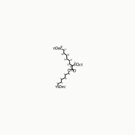 CCCCCCCCCCCCCCCCOC(=O)C(CCCCCCCC)CCCCCCCCCCCCCCCC